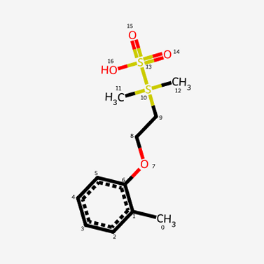 Cc1ccccc1OCCS(C)(C)S(=O)(=O)O